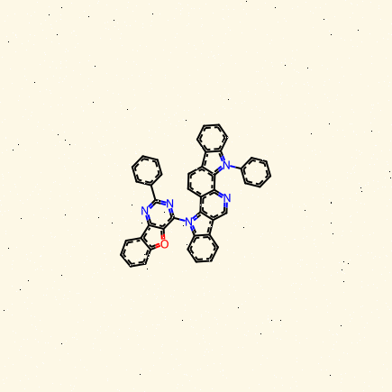 c1ccc(-c2nc(-n3c4ccccc4c4cnc5c(ccc6c7ccccc7n(-c7ccccc7)c65)c43)c3oc4ccccc4c3n2)cc1